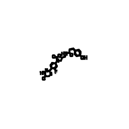 O=C(/C=C\c1ccc(O)cc1)NCC1CN(c2ccc(C3=NNC(=O)CS3)c(F)c2)C(=O)O1